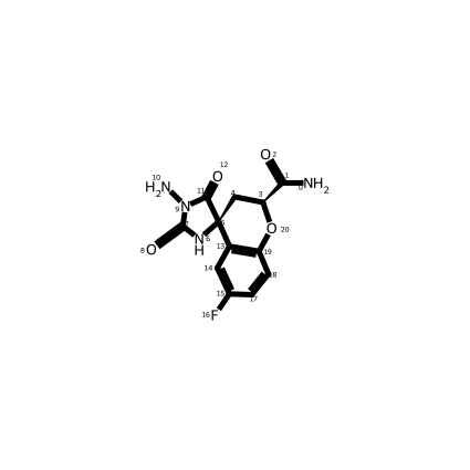 NC(=O)[C@@H]1C[C@]2(NC(=O)N(N)C2=O)c2cc(F)ccc2O1